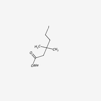 COC(=O)CC(C)(C)CCI